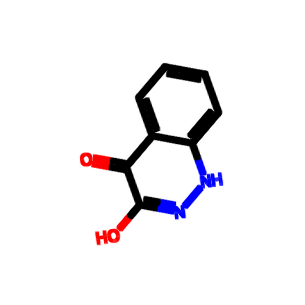 O=c1c(O)n[nH]c2ccccc12